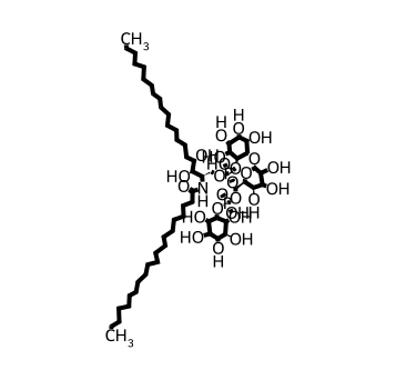 CCCCCCCCCCCCCCCCCCCC(=O)N[C@@H](COP(=O)(O)O[C@H]1C(O)C(O)C(O)[C@@H](O)C1O[C@H]1O[C@H](COP(=O)(O)OC2C(O)C(O)C(O)[C@@H](O)C2O)[C@@H](O)C(O)C1O)[C@H](O)[C@H](O)CCCCCCCCCCCCCCCC